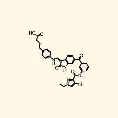 CCn1cc(Cl)c(C(=O)Nc2cccc(C(=O)c3ccc4c(c3)NC(=O)C4=CNc3ccc(CCCC(=O)O)cc3)c2)n1